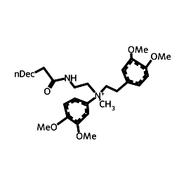 CCCCCCCCCCCC(=O)NCC[N+](C)(CCc1ccc(OC)c(OC)c1)c1ccc(OC)c(OC)c1